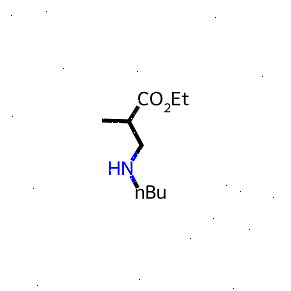 CCCCNCC(C)C(=O)OCC